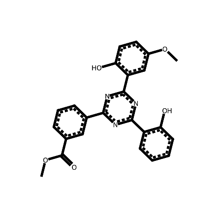 COC(=O)c1cccc(-c2nc(-c3ccccc3O)nc(-c3cc(OC)ccc3O)n2)c1